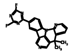 CC1(C)c2cccnc2-n2c3ccc(-c4nc(F)nc(F)n4)cc3c3cncc1c32